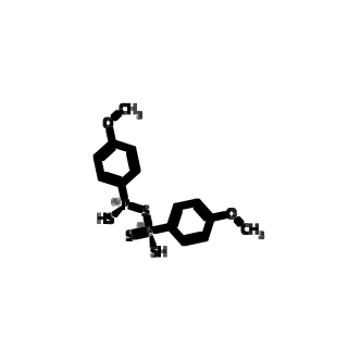 COc1ccc([P@](S)S[P@](=S)(S)c2ccc(OC)cc2)cc1